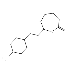 N=C1CCCCC(CCC2CCC(N)CC2)N1